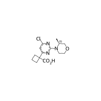 C[C@H]1COCCN1c1nc(Cl)cc(C2(C(=O)O)CCC2)n1